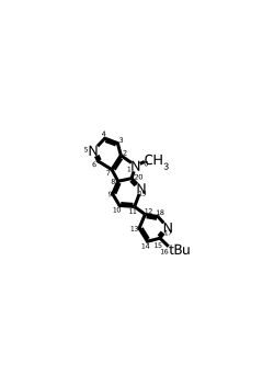 Cn1c2ccncc2c2ccc(-c3ccc(C(C)(C)C)nc3)nc21